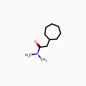 CN(C)C(=O)CC1CCCCCC1